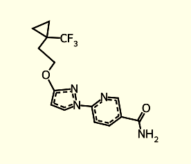 NC(=O)c1ccc(-n2ccc(OCCC3(C(F)(F)F)CC3)n2)nc1